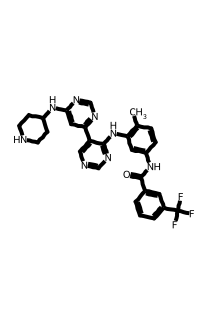 Cc1ccc(NC(=O)c2cccc(C(F)(F)F)c2)cc1Nc1ncncc1-c1cc(NC2CCNCC2)ncn1